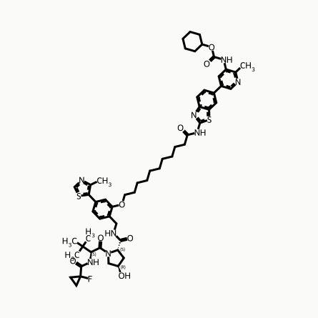 Cc1ncc(-c2ccc3nc(NC(=O)CCCCCCCCCCOc4cc(-c5scnc5C)ccc4CNC(=O)[C@@H]4C[C@@H](O)CN4C(=O)[C@@H](NC(=O)C4(F)CC4)C(C)(C)C)sc3c2)cc1NC(=O)OC1CCCCC1